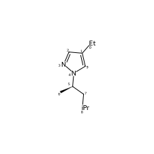 CCc1cnn([C@H](C)CC(C)C)c1